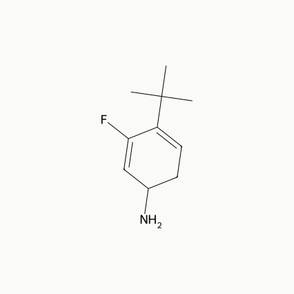 CC(C)(C)C1=CCC(N)C=C1F